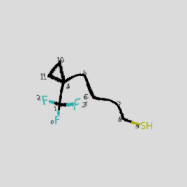 FC(F)(F)C1(CCCCS)CC1